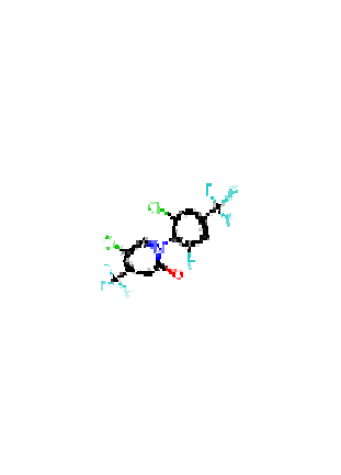 O=c1cc(C(F)(F)F)c(Cl)cn1-c1c(F)cc(C(F)(F)F)cc1Cl